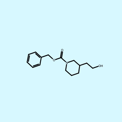 O=C(OCc1ccccc1)N1CCCC(CCO)C1